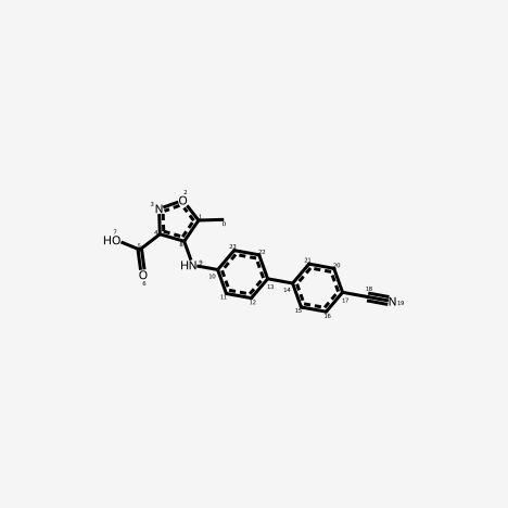 Cc1onc(C(=O)O)c1Nc1ccc(-c2ccc(C#N)cc2)cc1